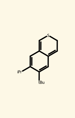 CC(C)c1cc2c(cc1C(C)(C)C)=CCSC=2